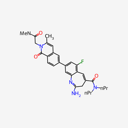 CCCN(CCC)C(=O)C1=Cc2c(F)cc(-c3ccc4c(=O)n(CC(=O)NC)c(C)cc4c3)cc2N=C(N)C1